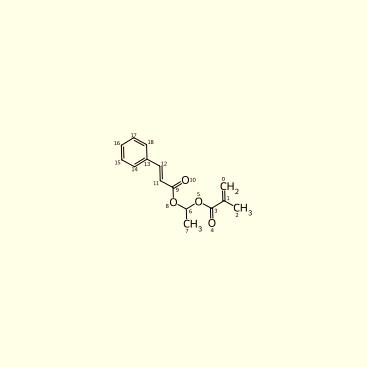 C=C(C)C(=O)OC(C)OC(=O)C=Cc1ccccc1